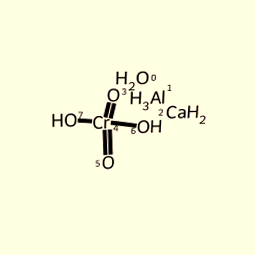 O.[AlH3].[CaH2].[O]=[Cr](=[O])([OH])[OH]